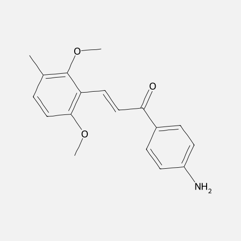 COc1ccc(C)c(OC)c1/C=C/C(=O)c1ccc(N)cc1